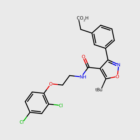 CC(C)(C)c1onc(-c2cccc(CC(=O)O)c2)c1C(=O)NCCOc1ccc(Cl)cc1Cl